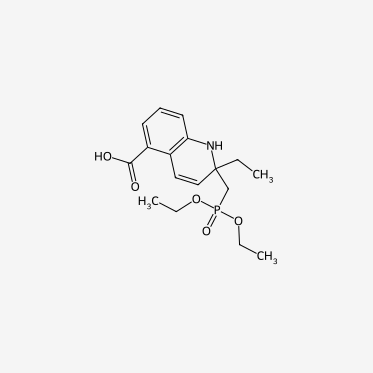 CCOP(=O)(CC1(CC)C=Cc2c(cccc2C(=O)O)N1)OCC